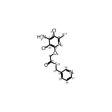 Nc1c(Cl)c(F)nc(OCC(=O)SCc2cccnc2)c1Cl